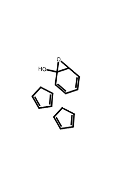 C1=CCC=C1.C1=CCC=C1.OC12C=CC=CC1O2